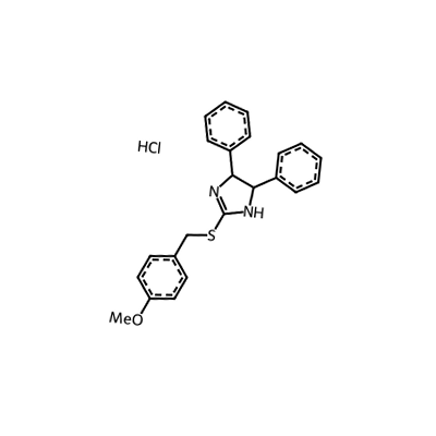 COc1ccc(CSC2=NC(c3ccccc3)C(c3ccccc3)N2)cc1.Cl